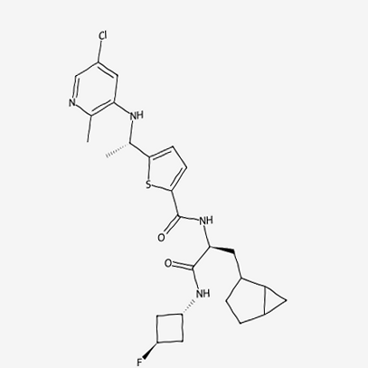 Cc1ncc(Cl)cc1N[C@@H](C)c1ccc(C(=O)N[C@@H](CC2CCC3CC32)C(=O)N[C@H]2C[C@H](F)C2)s1